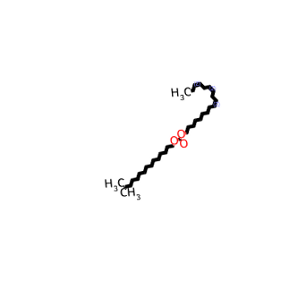 CC/C=C\C/C=C\C/C=C\CCCCCCCCOC(=O)OCCCCCCCCCCCCCC(C)C